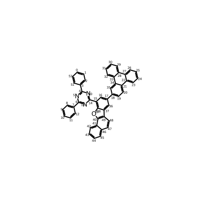 c1ccc(-c2nc(-c3ccccc3)nc(-c3cc(-c4ccc5c6ccccc6c6ccccc6c5c4)cc4c3oc3c5ccccc5ccc43)n2)cc1